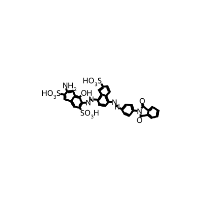 Nc1cc2c(O)c(/N=N/c3ccc(/N=N/c4ccc(N5C(=O)c6ccccc6C5=O)cc4)c4ccc(S(=O)(=O)O)cc34)c(S(=O)(=O)O)cc2cc1S(=O)(=O)O